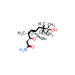 C[C@H](/C=C/CC(C)(C)[Si](C)(C)O)[C@H](CC(N)=O)O[Si](C)(C)C(C)(C)C